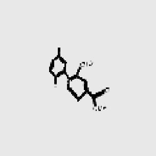 COC(=O)c1ccc(-c2cc(C)ccc2F)c(C=O)c1